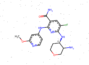 COc1cc(Nc2nc(N[C@@H]3CCOCC3N)c(F)cc2C(N)=O)ccn1